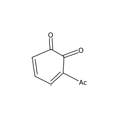 CC(=O)C1=[C]C=CC(=O)C1=O